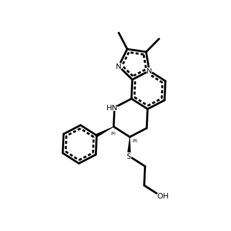 Cc1nc2c3c(ccn2c1C)C[C@@H](SCCO)[C@@H](c1ccccc1)N3